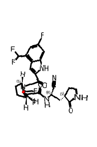 N#C[C@@H](C[C@@H]1CCNC1=O)NC(=O)[C@H]1[C@@H]2CC[C@@H](CC2(F)F)N1C(=O)c1cc2c(C(F)F)cc(F)cc2[nH]1